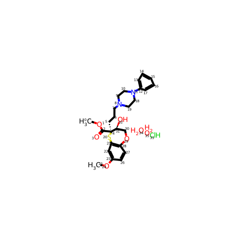 COC(=O)[C@]1(CCCN2CCN(c3ccccc3)CC2)Sc2cc(OC)ccc2OC[C@@H]1O.Cl.O.O